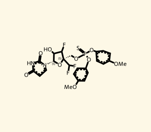 COc1ccc(OP(=S)(OC[C@]2(C(F)F)O[C@H](n3ccc(=O)[nH]c3=O)C(O)C2F)Oc2ccc(OC)cc2)cc1